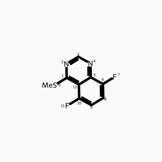 CSc1ncnc2c(F)ccc(F)c12